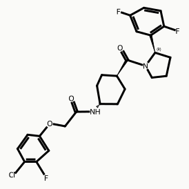 O=C(COc1ccc(Cl)c(F)c1)N[C@H]1CC[C@H](C(=O)N2CCC[C@@H]2c2cc(F)ccc2F)CC1